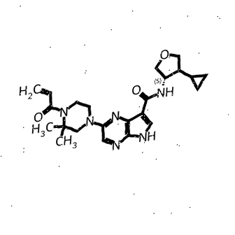 C=CC(=O)N1CCN(c2cnc3[nH]cc(C(=O)N[C@@H]4COCC4C4CC4)c3n2)CC1(C)C